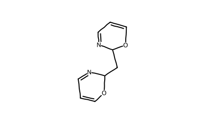 C1=COC(CC2N=CC=CO2)N=C1